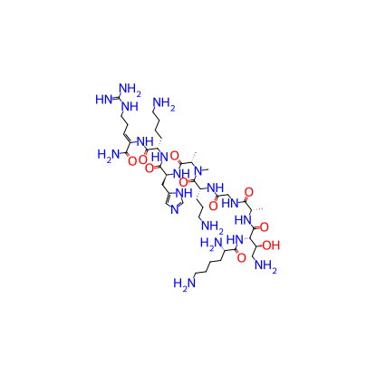 C[C@H](NC(=O)[C@@H](NC(=O)[C@@H](N)CCCCN)[C@@H](O)CN)C(=O)NCC(=O)N[C@H](CCCN)C(=O)N(C)[C@@H](C)C(=O)N[C@@H](Cc1cnc[nH]1)C(=O)N[C@@H](CCCCN)C(=O)N/C(=C\CCNC(=N)N)C(N)=O